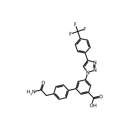 NC(=O)Cc1ccc(-c2cc(C(=O)O)cc(-n3cc(-c4ccc(C(F)(F)F)cc4)nn3)c2)cc1